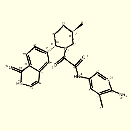 Cc1cc(NC(=O)C(=O)N2C[C@H](C)CC[C@H]2c2ccc3c(=O)[nH]ccc3c2)cnc1N